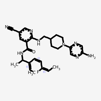 C\C=C(F)/C=C\C(=C/C)C(C)NC(=O)c1cc(C#N)cnc1NCC1CCN(c2cnc(N)cn2)CC1